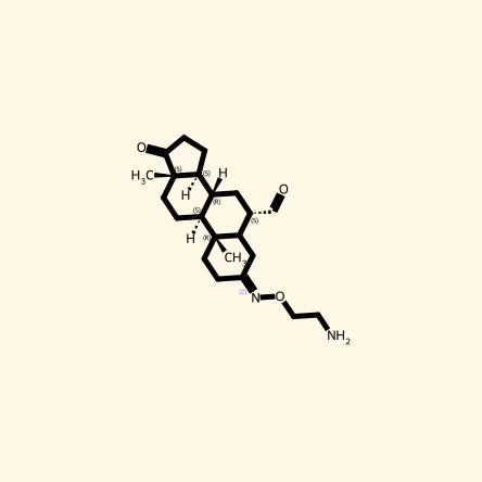 C[C@]12CC/C(=N/OCCN)CC1[C@@H](C=O)C[C@@H]1[C@@H]2CC[C@]2(C)C(=O)CC[C@@H]12